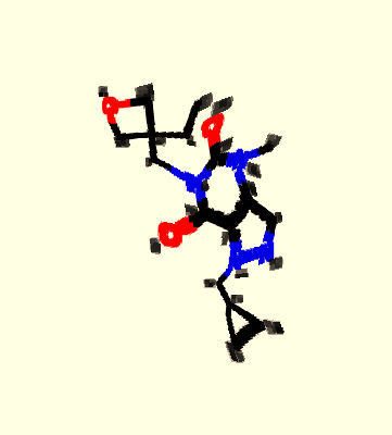 CCC1(Cn2c(=O)c3c(cnn3CC3CC3)n(C)c2=O)COC1